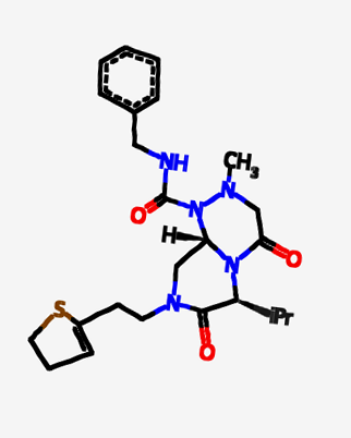 CC(C)[C@H]1C(=O)N(CCC2=CCCS2)C[C@H]2N1C(=O)CN(C)N2C(=O)NCc1ccccc1